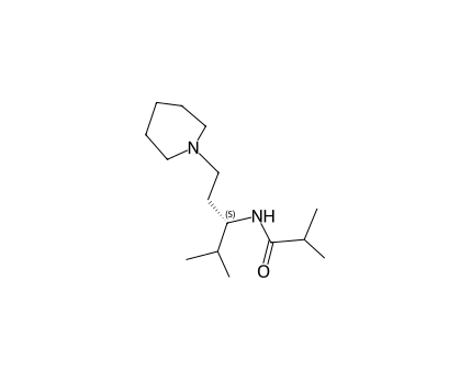 CC(C)C(=O)N[C@@H](CCN1CCCCC1)C(C)C